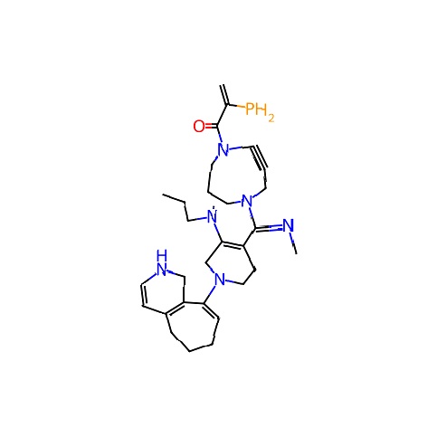 C=C(P)C(=O)N1C#CCN(/C(=N/C)C2=C(N(C)CCC)CN(C3=CCCCC4=C3CNC=C4)CC2)CCC1